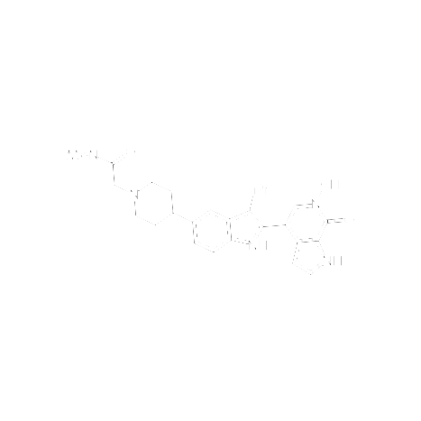 CNC(=O)CN1CCC(c2ccc3[nH]c(-c4cn(C)c(=O)c5[nH]ccc45)c(C(C)C)c3c2)CC1